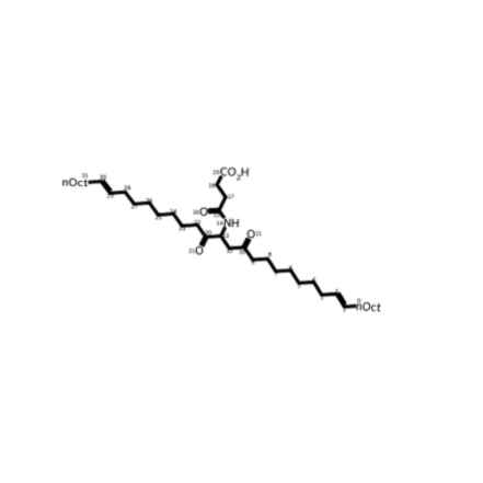 CCCCCCCCC=CCCCCCCCC(=O)CC(NC(=O)CCC(=O)O)C(=O)CCCCCCCC=CCCCCCCCC